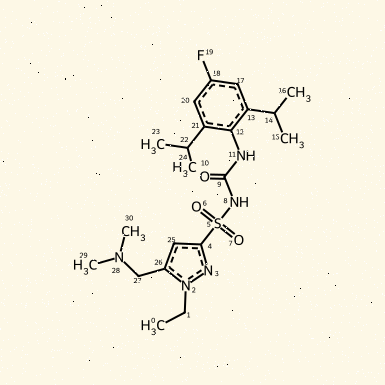 CCn1nc(S(=O)(=O)NC(=O)Nc2c(C(C)C)cc(F)cc2C(C)C)cc1CN(C)C